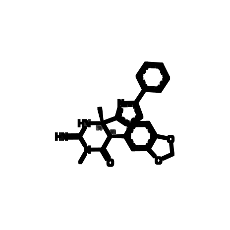 CN1C(=N)N[C@](C)(c2nc(-c3ccccc3)cs2)[C@@H](c2ccc3c(c2)OCO3)C1=O